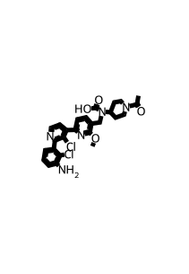 COc1nc(-c2ccnc(-c3cccc(N)c3Cl)c2Cl)ccc1CN(C(=O)O)C1CCN(C(C)=O)CC1